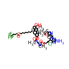 COc1c(C)cnc(Cn2cc(C#CCCOC(=O)N(C)CCN(C)C(=O)Oc3ccc4c(c3)C[C@@H](CCCCCCCCC[S+]([O-])CCCC(F)(F)C(F)(F)F)[C@@H]3[C@@H]4CC[C@]4(C)[C@@H](O)CC[C@@H]34)c3c(Cl)nc(N)nc32)c1C